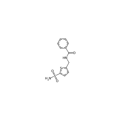 NS(=O)(=O)c1ccc(CNC(=O)c2ccccc2)s1